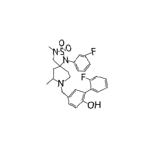 CC1CC2(CCN1Cc1ccc(O)c(-c3ccccc3F)c1)CN(C)S(=O)(=O)N2c1cccc(F)c1